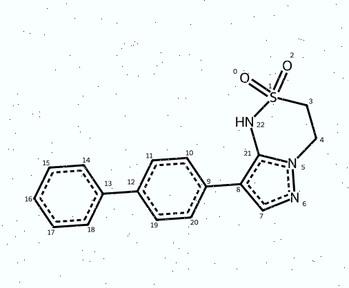 O=S1(=O)CCn2ncc(-c3ccc(-c4ccccc4)cc3)c2N1